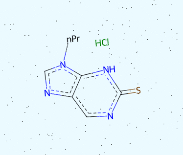 CCCn1cnc2cnc(=S)[nH]c21.Cl